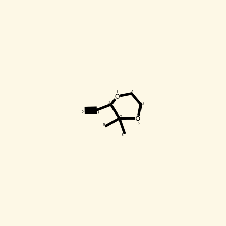 C#CC1OCCOC1(C)C